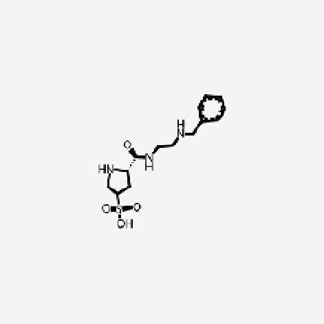 O=C(NCCNCc1ccccc1)[C@@H]1CC(S(=O)(=O)O)CN1